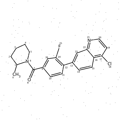 CC1CCCCN1C(=O)c1ccc(-c2ccc3c(Cl)ccnc3c2)c(F)c1